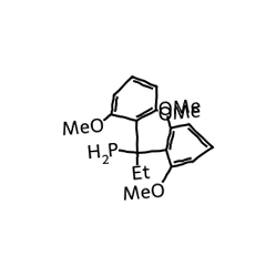 CCC(P)(c1c(OC)cccc1OC)c1c(OC)cccc1OC